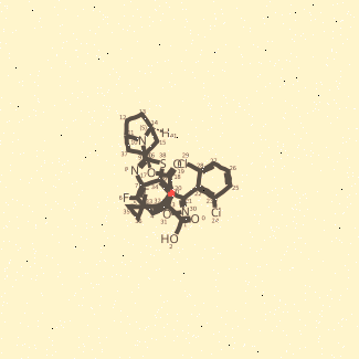 O=C(O)c1cc(F)c2nc(N3C4CC[C@H]3C[C@@H](OC(=O)c3c(-c5c(Cl)cccc5Cl)noc3C3(F)CC3)C4)sc2c1